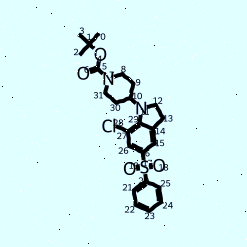 CC(C)(C)OC(=O)N1CCC(N2CCc3cc(S(=O)(=O)c4ccccc4)cc(Cl)c32)CC1